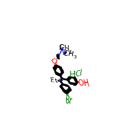 CC/C(=C(/c1ccc(O)cc1)c1ccc(OCCN(C)C)cc1)c1ccc(Br)cc1.Cl